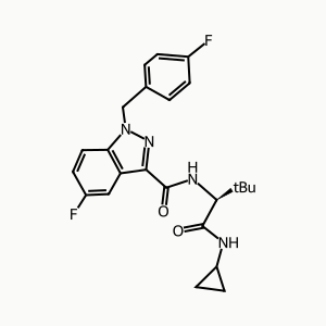 CC(C)(C)[C@H](NC(=O)c1nn(Cc2ccc(F)cc2)c2ccc(F)cc12)C(=O)NC1CC1